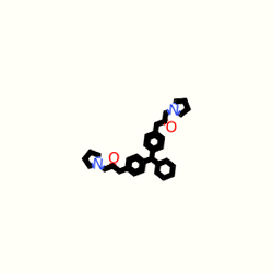 O=C(Cc1ccc(C(c2ccc(CC(=O)CN3CCCC3)cc2)C2CCCCC2)cc1)CN1CCCC1